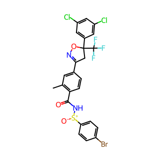 Cc1cc(C2=NOC(c3cc(Cl)cc(Cl)c3)(C(F)(F)F)C2)ccc1C(=O)N[S+]([O-])c1ccc(Br)cc1